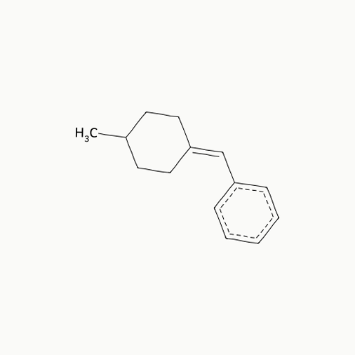 CC1CCC(=Cc2ccccc2)CC1